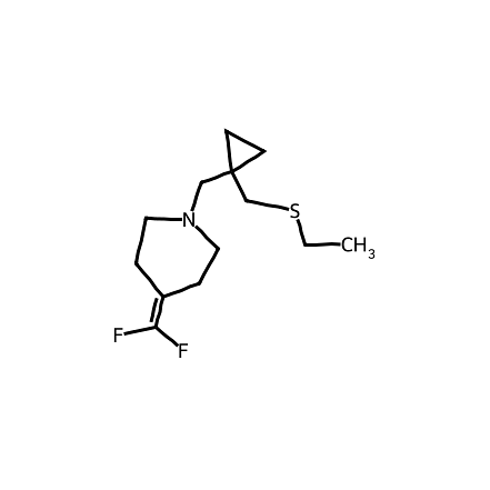 CCSCC1(CN2CCC(=C(F)F)CC2)CC1